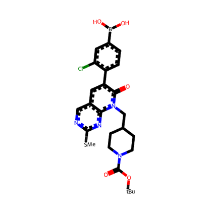 CSc1ncc2cc(-c3ccc(B(O)O)cc3Cl)c(=O)n(CC3CCN(C(=O)OC(C)(C)C)CC3)c2n1